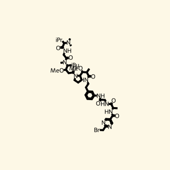 CCC(C)C(C(CC(=O)N1CCCC1C(OC)C(C)C(=O)NCCc1cccc(NC(=O)CNC(=O)C(C)NC(=O)c2cnc(CBr)nc2)c1)OC)N(C)C(=O)CNC(=O)C(C(C)C)N(C)C